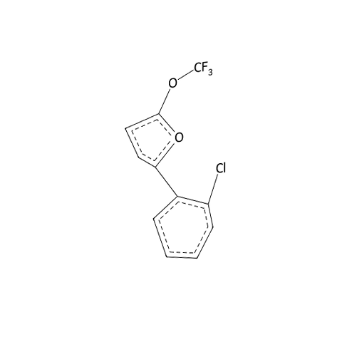 FC(F)(F)Oc1ccc(-c2ccccc2Cl)o1